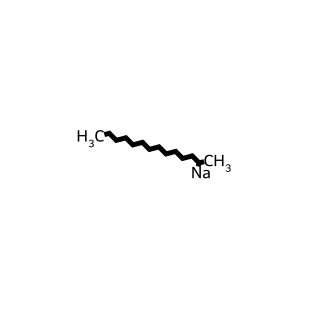 CCCCCCCCCCCC[CH](C)[Na]